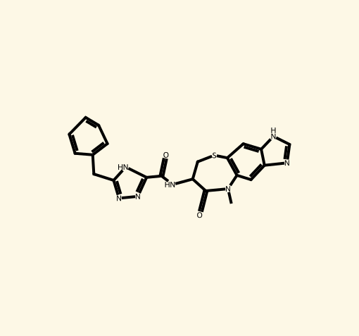 CN1C(=O)C(NC(=O)c2nnc(Cc3ccccc3)[nH]2)CSc2cc3[nH]cnc3cc21